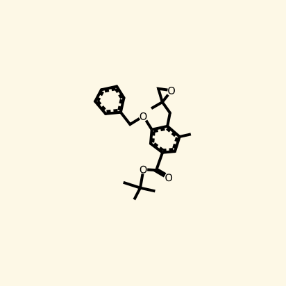 Cc1cc(C(=O)OC(C)(C)C)cc(OCc2ccccc2)c1CC1(C)CO1